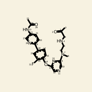 CC(=O)CNCCN(C)c1cncc(Oc2ccc(-c3ccc(NC(C)=O)cn3)cc2F)n1